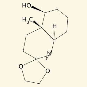 C[C@]12CCC3(OCCO3)C3(CCCC3)[C@@H]1CCC[C@@H]2O